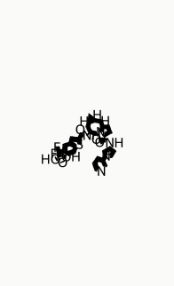 O=C(N[C@H]1C[C@@H]2C[C@@H]2C[C@H]2CC[C@@H](C(=O)N[C@@H]3CCN(c4cccnc4)C3)N2C1=O)c1cc2cc(C(F)(F)P(=O)(O)O)ccc2s1